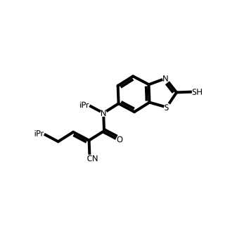 CC(C)CC=C(C#N)C(=O)N(c1ccc2nc(S)sc2c1)C(C)C